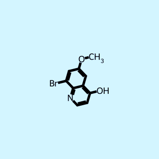 COc1cc(Br)c2nccc(O)c2c1